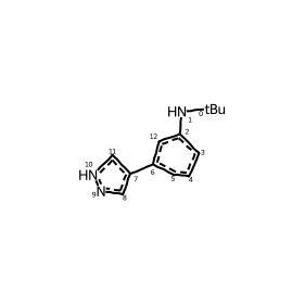 CC(C)(C)Nc1cccc(-c2cn[nH]c2)c1